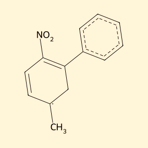 C[C]1C=CC([N+](=O)[O-])=C(c2ccccc2)C1